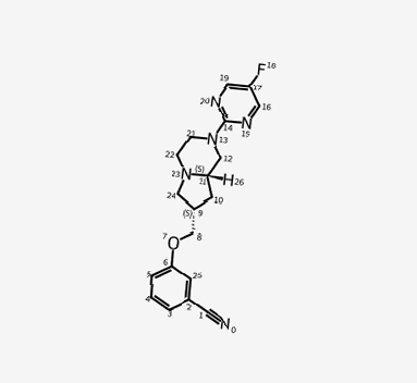 N#Cc1cccc(OC[C@H]2C[C@H]3CN(c4ncc(F)cn4)CCN3C2)c1